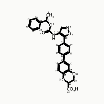 CC(OC(=O)Nc1cnoc1-c1ccc(-c2ccc3c(c2)OCC(C(=O)O)O3)cc1)c1ccccc1